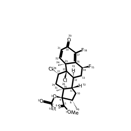 CCC(=O)O[C@]1(C(=S)OC)[C@@H](C)C[C@H]2[C@@H]3C[C@H](F)C4=C(F)C(=O)C=C[C@]4(C)[C@@]3(Cl)[C@@H](Cl)C[C@@]21C